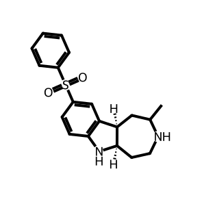 CC1C[C@@H]2c3cc(S(=O)(=O)c4ccccc4)ccc3N[C@@H]2CCN1